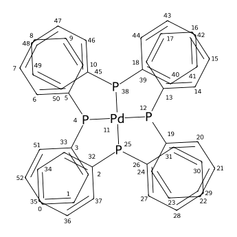 c1ccc([P](c2ccccc2)[Pd]([P](c2ccccc2)c2ccccc2)([P](c2ccccc2)c2ccccc2)[P](c2ccccc2)c2ccccc2)cc1